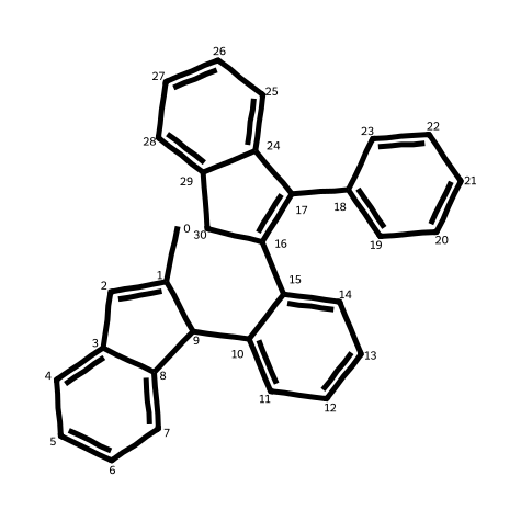 CC1=Cc2ccccc2C1c1ccccc1C1=C(c2ccccc2)c2ccccc2C1